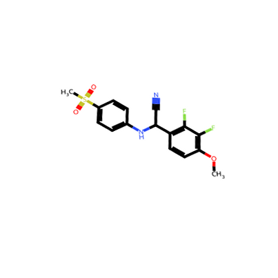 COc1ccc(C(C#N)Nc2ccc(S(C)(=O)=O)cc2)c(F)c1F